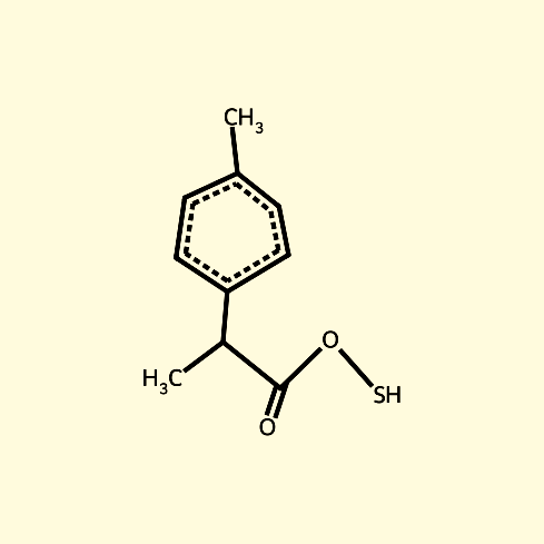 Cc1ccc(C(C)C(=O)OS)cc1